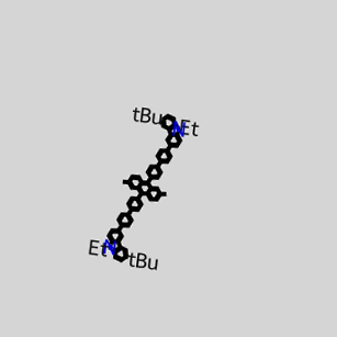 CCn1c2ccc(-c3ccc(-c4ccc(-c5c6ccc(C)cc6c(-c6ccc(-c7ccc(-c8ccc9c(c8)c8cc(C(C)(C)C)ccc8n9CC)cc7)cc6)c6ccc(C)cc56)cc4)cc3)cc2c2cc(C(C)(C)C)ccc21